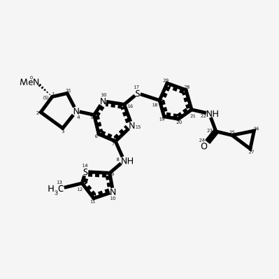 CN[C@H]1CCN(c2cc(Nc3ncc(C)s3)nc(Sc3ccc(NC(=O)C4CC4)cc3)n2)C1